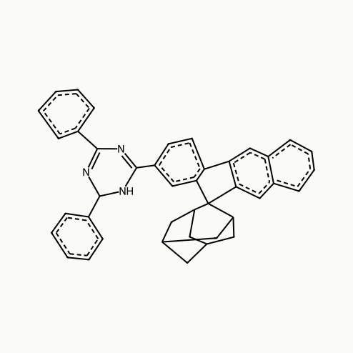 c1ccc(C2=NC(c3ccccc3)NC(c3ccc4c(c3)C3(c5cc6ccccc6cc5-4)C4CC5CC(C4)CC3C5)=N2)cc1